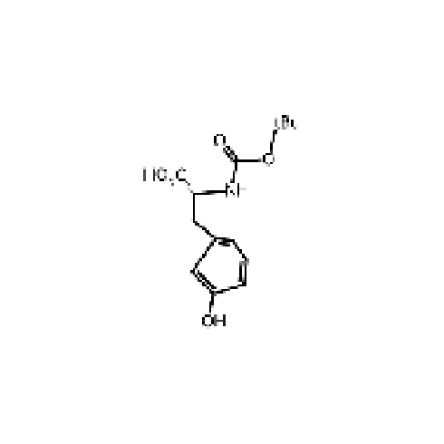 CC(C)(C)OC(=O)N[C@H](Cc1cccc(O)c1)C(=O)O